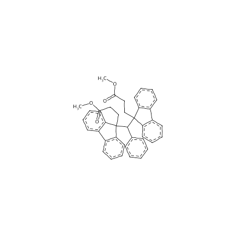 COC(=O)CCC1(C(c2ccccc2)C2(CCC(=O)OC)c3ccccc3-c3ccccc32)c2ccccc2-c2ccccc21